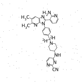 [2H]C([2H])(c1ccc(-n2c(-c3cccnc3N)nc3cc(C)c(C)nc32)cc1)N1CCC(Nc2ccnc(C#N)n2)CC1